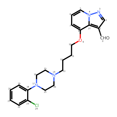 O=Cc1cnn2cccc(OCCCCN3CCN(c4ccccc4Cl)CC3)c12